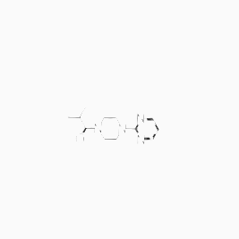 CC(C)C(=O)N1CCN(c2ncccn2)CC1